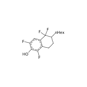 CCCCCCC1CCc2c(cc(F)c(O)c2F)C1(F)F